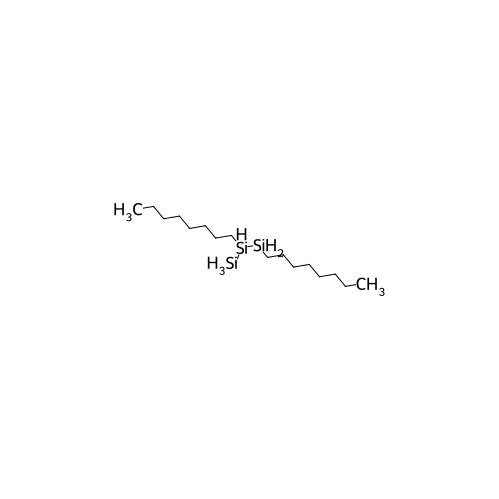 CCCCCCCC[SiH2][SiH]([SiH3])CCCCCCCC